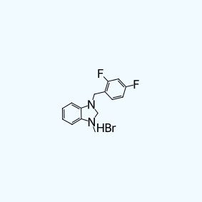 Br.CN1CN(Cc2ccc(F)cc2F)c2ccccc21